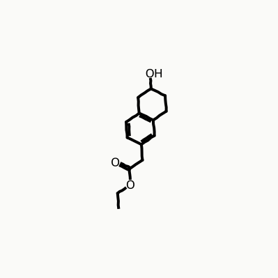 CCOC(=O)Cc1ccc2c(c1)CCC(O)C2